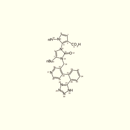 CCCCc1cn(-c2c(C(=O)O)ccn2CCC)c(=O)n1Cc1cnccc1-c1ccccc1-c1nnn[nH]1